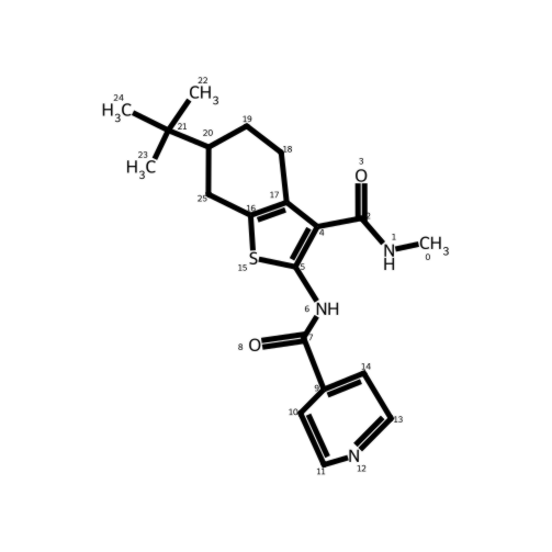 CNC(=O)c1c(NC(=O)c2ccncc2)sc2c1CCC(C(C)(C)C)C2